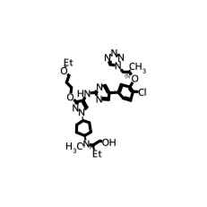 CCOCCCOc1nn([C@H]2CC[C@H](N(C)[C@H](CC)CO)CC2)cc1Nc1ncc(-c2ccc(Cl)c(O[C@@H](C)Cn3cnnn3)c2)cn1